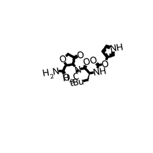 CN(C(=O)[C@H](CC(C)(C)C)NC(=O)Oc1cc[nH]c1)C1C(=O)COC1C(N)=O